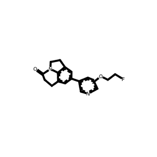 O=C1CCc2cc(-c3cncc(OCCF)c3)cc3c2N1CC3